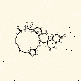 O=C1CCC/C=C/Cn2cc(cn2)CN2CC3(CCCc4cc(Cl)ccc43)COc3ccc(cc32)S(=O)(=O)N1